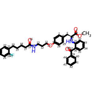 COC(=O)[C@H](Cc1ccc(OCCCNC(=O)CCCCc2ccccc2F)cc1)Nc1ccccc1C(=O)c1ccccc1